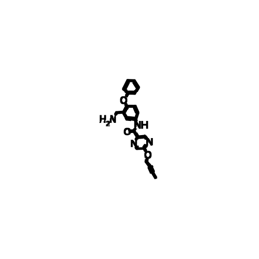 CC#CCOc1cnc(C(=O)Nc2ccc(Oc3ccccc3)c(CN)c2)cn1